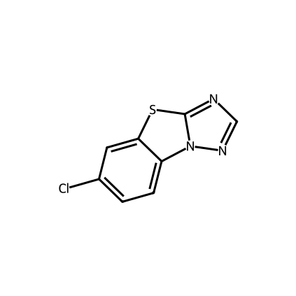 Clc1ccc2c(c1)sc1ncnn12